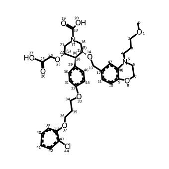 COCCCN1CCOc2ccc(CO[C@H]3CN(C(=O)O)C[C@@H](OCC(=O)O)[C@@H]3c3ccc(OCCCOc4ccccc4Cl)cc3)cc21